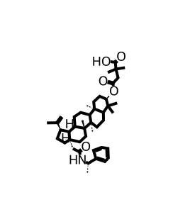 C=C(C)[C@@H]1CC[C@]2(CC(=O)N[C@@H](C)c3ccccc3)CC[C@]3(C)[C@H](CCC4[C@@]5(C)CC[C@H](OC(=O)CC(C)(C)C(=O)O)C(C)(C)C5CC[C@]43C)[C@@H]12